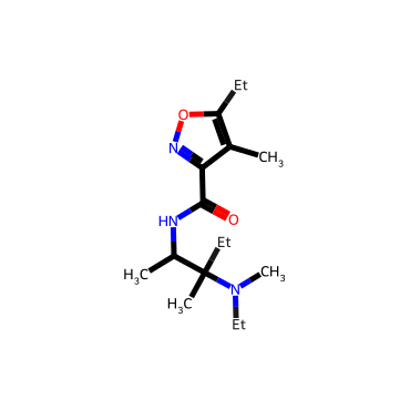 CCc1onc(C(=O)NC(C)C(C)(CC)N(C)CC)c1C